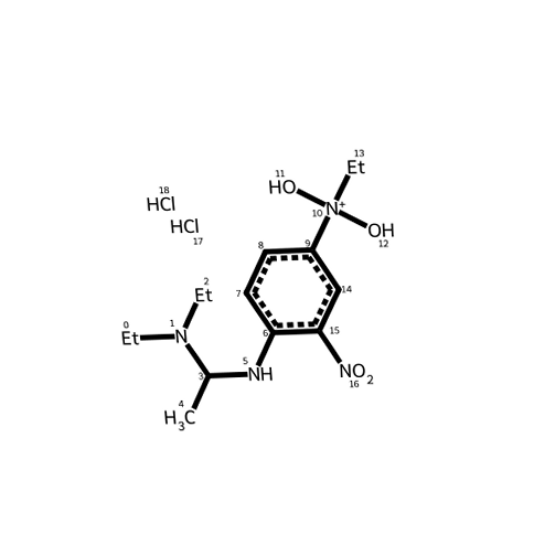 CCN(CC)C(C)Nc1ccc([N+](O)(O)CC)cc1[N+](=O)[O-].Cl.Cl